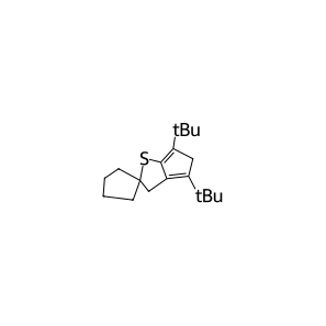 CC(C)(C)C1=C2CC3(CCCC3)SC2=C(C(C)(C)C)C1